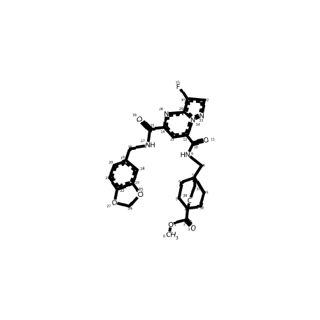 COC(=O)C12CCC(CNC(=O)c3cc(C(=O)NCc4ccc5c(c4)OCO5)nc4c(F)cnn34)(CC1)CC2